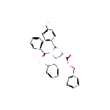 COc1ccc(C2O[C@@H](C(=O)OCc3ccccc3)[C@H](C3C=CC=CC3C)N2C(=O)c2ccccc2)cc1